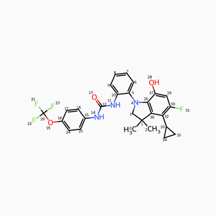 CC1(C)CN(c2ccccc2NC(=O)Nc2ccc(OC(F)(F)F)cc2)c2c(O)cc(F)c(C3CC3)c21